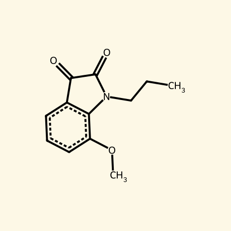 CCCN1C(=O)C(=O)c2cccc(OC)c21